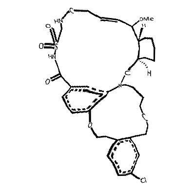 COC1/C=C/CCNS(=O)(=O)NC(=O)c2ccc3c(c2)N(CCCCc2cc(Cl)ccc2CO3)C[C@@H]2CC[C@@H]12